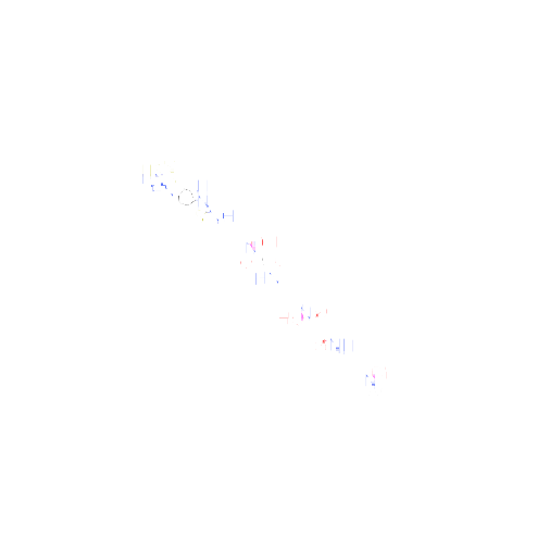 CC(=O)N(O)CCCCCNC(=O)CCC(=O)N(O)CCCCCNC(=O)CCC(=O)N(O)CCCCCNC(=S)Nc1ccc(NC(=S)N[SH](C)S)cc1